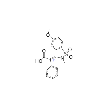 COc1ccc2c(c1)/C(=C(\C(=O)O)c1ccccc1)N(C)S2(=O)=O